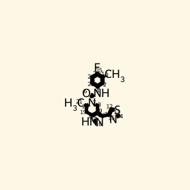 Cc1cc(NC(=O)N2Cc3c(-c4cscn4)n[nH]c3CC2C)ccc1F